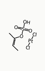 CC=C(C)OS(=O)(=O)O.[Cl][Pt][Cl]